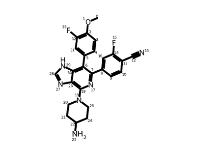 COc1ccc(-c2c(-c3ccc(C#N)c(F)c3)nc(N3CCC(N)CC3)c3nc[nH]c23)cc1F